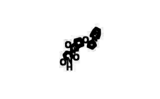 O=C1CCC(N2Cc3cc(O[C@H]4CCC[C@@H]4N4CC5CCC(C4)O5)ccc3C2=O)C(=O)N1